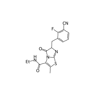 CCNC(=O)C1=C(C)SC2=NC(Cc3cccc(C#N)c3F)C(=O)N21